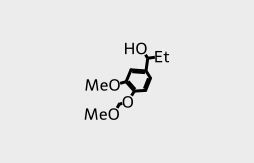 CCC(O)c1ccc(OCOC)c(OC)c1